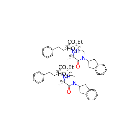 CCOC(=O)[C@H](CCc1ccccc1)N[C@@H](C)C(=O)N(CC(=O)O)C1Cc2ccccc2C1.CCOC(=O)[C@H](CCc1ccccc1)N[C@@H](C)C(=O)N(CC(=O)O)C1Cc2ccccc2C1